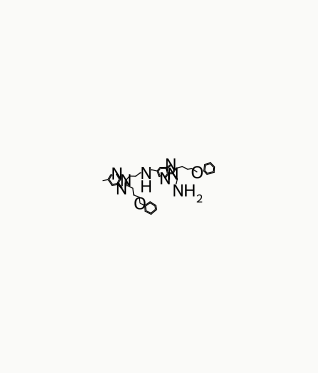 Cc1cnc2c(c1)nc(CCCOc1ccccc1)n2CCCNCc1cnc2c(c1)nc(CCCOc1ccccc1)n2CCN